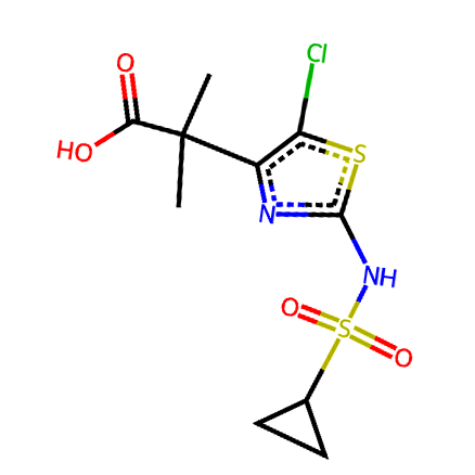 CC(C)(C(=O)O)c1nc(NS(=O)(=O)C2CC2)sc1Cl